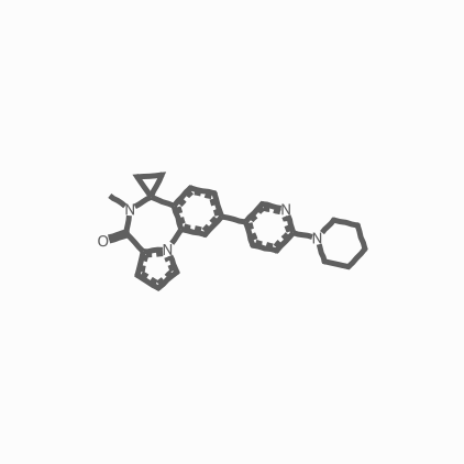 CN1C(=O)c2cccn2-c2cc(-c3ccc(N4CCCCC4)nc3)ccc2C12CC2